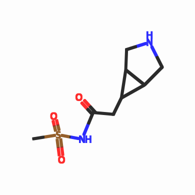 CS(=O)(=O)NC(=O)CC1C2CNCC21